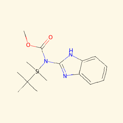 COC(=O)N(c1nc2ccccc2[nH]1)[Si](C)(C)C(C)(C)C